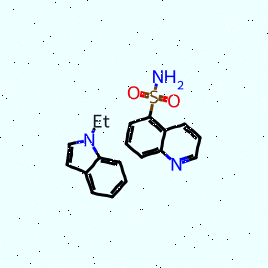 CCn1ccc2ccccc21.NS(=O)(=O)c1cccc2ncccc12